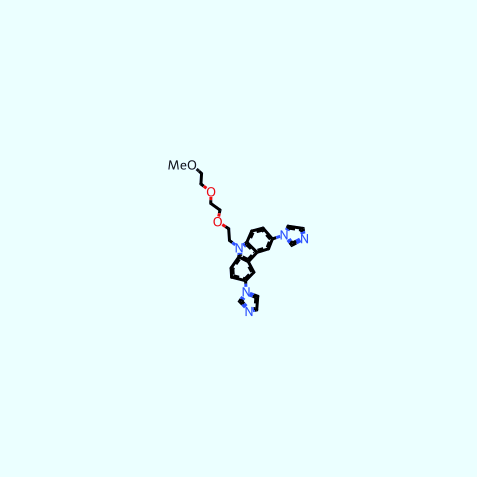 COCCOCCOCCn1c2ccc(-n3ccnc3)cc2c2cc(-n3ccnc3)ccc21